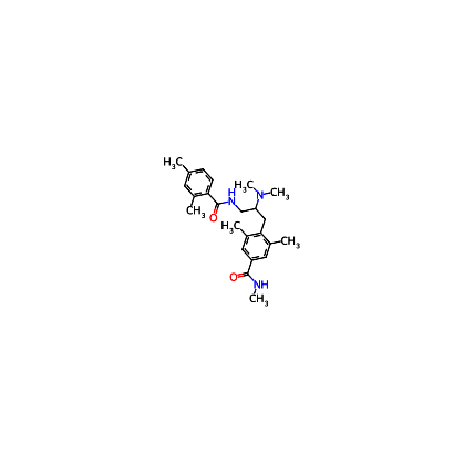 CNC(=O)c1cc(C)c(CC(CNC(=O)c2ccc(C)cc2C)N(C)C)c(C)c1